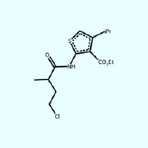 CCOC(=O)c1c(C(C)C)csc1NC(=O)C(C)CCCl